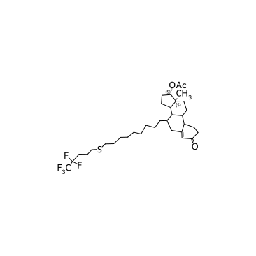 CC(=O)O[C@H]1CCC2C3C(CCCCCCCCCSCCCC(F)(F)C(F)(F)F)CC4=CC(=O)CCC4C3CC[C@@]21C